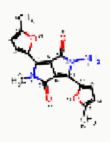 Cc1ccc(C2=C3C(=O)N(N)C(c4ccc(C)o4)=C3C(=O)N2C)o1